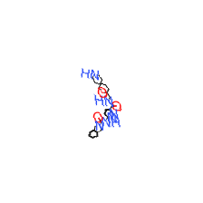 O=C(NCC1CCC2(CCNCC2)CO1)c1ccc(NC(=O)N2Cc3ccccc3C2)nn1